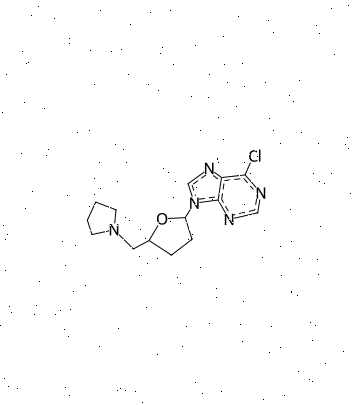 Clc1ncnc2c1ncn2C1CCC(CN2CCCC2)O1